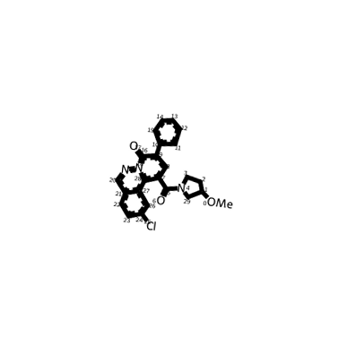 COC1CCN(C(=O)c2cc(-c3ccccc3)c(=O)n3ncc4ccc(Cl)cc4c23)C1